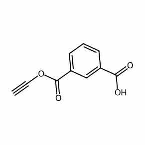 C#COC(=O)c1cccc(C(=O)O)c1